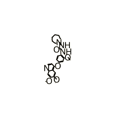 COc1cc(Oc2ccnc3cc(OC)c(OC)cc23)ccc1NC(=O)NN1CCCCCC1